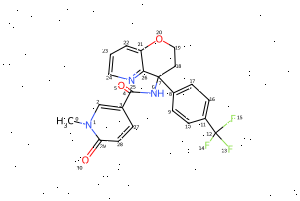 Cn1cc(C(=O)NC2(c3ccc(C(F)(F)F)cc3)CCOc3cccnc32)ccc1=O